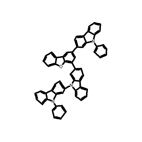 c1ccc(-n2c3ccccc3c3ccc(-c4cc(-c5ccc6c7ccccc7n(-c7ccc8c9ccccc9n(-c9ccccc9)c8c7)c6c5)c5oc6ccccc6c5c4)cc32)cc1